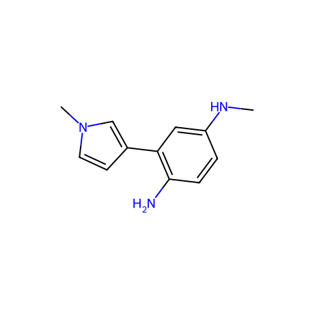 CNc1ccc(N)c(-c2ccn(C)c2)c1